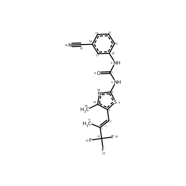 C/C(=C\c1sc(NC(=O)Nc2cccc(C#N)c2)nc1C)C(F)(F)F